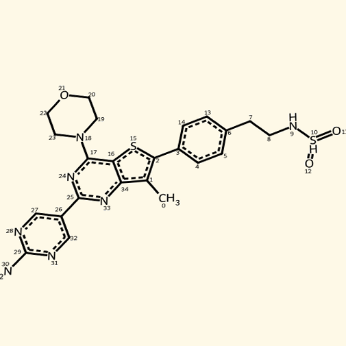 Cc1c(-c2ccc(CCN[SH](=O)=O)cc2)sc2c(N3CCOCC3)nc(-c3cnc(N)nc3)nc12